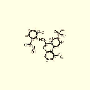 COc1ccccc1-c1cnc(S(C)(=O)=O)nc1C(=O)O.O=C(OO)c1cccc(Cl)c1